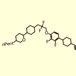 C=CC1CCC(c2ccc(OCC(F)(F)CC3CCC(C4CCC(CCCCC)CO4)CC3)c(F)c2F)CC1